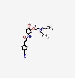 CCCN(CCC)CCOc1cc(NC(=O)C=Cc2ccc(C#N)cc2)ccc1OC